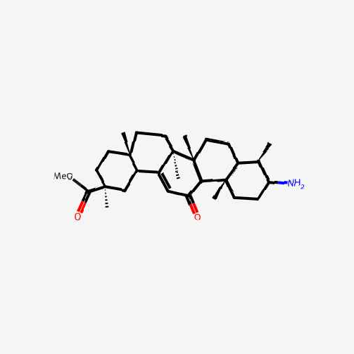 COC(=O)[C@@]1(C)CC[C@]2(C)CC[C@]3(C)C(=CC(=O)C4[C@@]5(C)CCC(N)[C@H](C)C5CC[C@]43C)C2C1